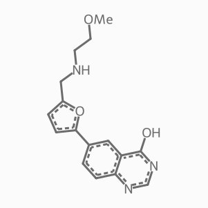 COCCNCc1ccc(-c2ccc3ncnc(O)c3c2)o1